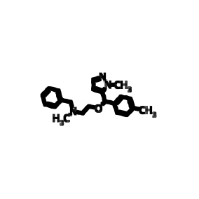 Cc1ccc(C(OCCN(C)Cc2ccccc2)c2ccnn2C)cc1